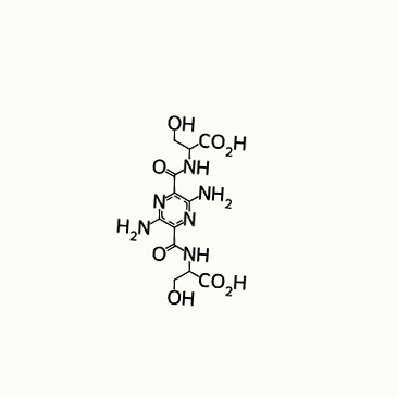 Nc1nc(C(=O)NC(CO)C(=O)O)c(N)nc1C(=O)NC(CO)C(=O)O